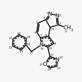 CC1=NN=C2C=Cc3c(cc(-c4ncco4)n3Cc3ccccc3)C12